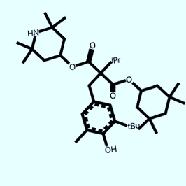 Cc1cc(CC(C(=O)OC2CC(C)(C)CC(C)(C)C2)(C(=O)OC2CC(C)(C)NC(C)(C)C2)C(C)C)cc(C(C)(C)C)c1O